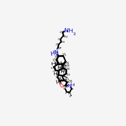 C[C@H]1CC[C@]2(NC1)O[C@H]1C[C@H]3[C@@H]4CC[C@H]5CC(NCCCCCCN)CC[C@]5(C)[C@H]4CC[C@]3(C)[C@H]1[C@@H]2C